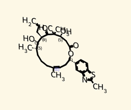 C=CC[C@H]1C(=O)C(C)(C)[C@@H](O)CC(=O)O[C@H](c2ccc3sc(C)nc3c2)C/C=C(/C)CCC[C@H](C)[C@@H]1O